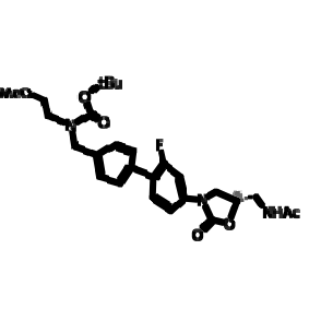 COCCN(Cc1ccc(-c2ccc(N3C[C@H](CNC(C)=O)OC3=O)cc2F)cc1)C(=O)OC(C)(C)C